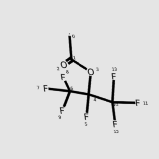 [CH2]C(=O)OC(F)(C(F)(F)F)C(F)(F)F